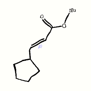 CC(C)(C)OC(=O)/C=C/C1CCCC1